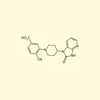 N#Cc1ccc(C(=O)O)cc1N1CCC(n2c(=O)[nH]c3ncccc32)CC1